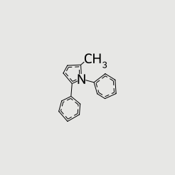 Cc1ccc(-c2ccccc2)n1-c1ccccc1